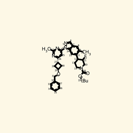 Cc1nc(-n2ncc3cc(C)c(C4CCN(C(=O)OC(C)(C)C)CC4F)cc32)cc([C@H]2C[C@H](OCc3ccccc3)C2)n1